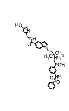 CC(C)(CCn1ccc2cc(C(=O)NCc3cc(O)sn3)ccc21)NC[C@H](O)c1cccc(NS(=O)(=O)c2ccccc2)c1